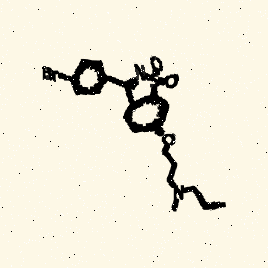 CCCN(C)CCCOc1ccc2c(c1)S(=O)(=O)N=C2c1ccc(Br)cc1